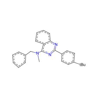 CN(Cc1ccccc1)c1nc(-c2ccc(C(C)(C)C)cc2)nc2ccccc12